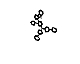 c1ccc(-c2ccc(N(c3ccc(-c4ccccc4)cc3)c3ccc(-c4cccc5c4oc4ccccc45)c(-c4ccccc4)c3)cc2)cc1